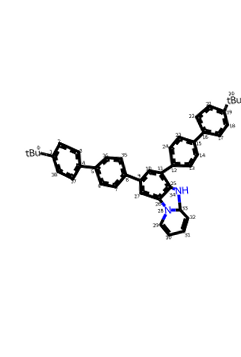 CC(C)(C)c1ccc(-c2ccc(-c3cc(-c4ccc(-c5ccc(C(C)(C)C)cc5)cc4)c4c(c3)N3C=CC=CC3N4)cc2)cc1